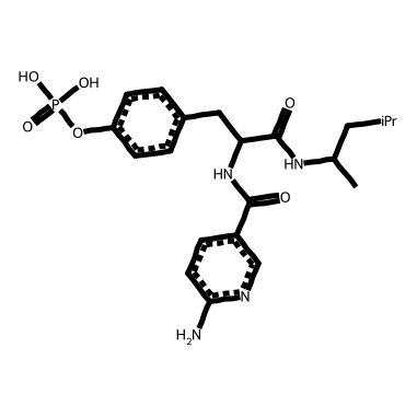 CC(C)CC(C)NC(=O)C(Cc1ccc(OP(=O)(O)O)cc1)NC(=O)c1ccc(N)nc1